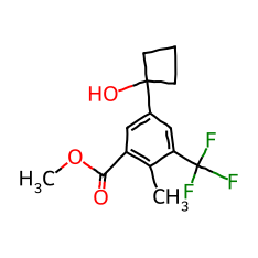 COC(=O)c1cc(C2(O)CCC2)cc(C(F)(F)F)c1C